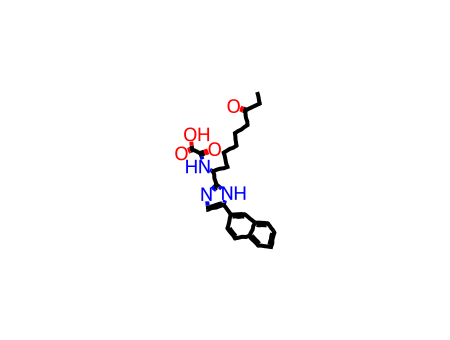 CCC(=O)CCCCCC(NC(=O)C(=O)O)c1ncc(-c2ccc3ccccc3c2)[nH]1